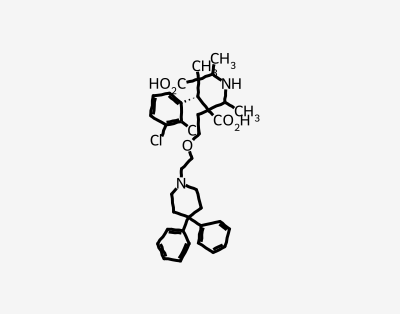 CC1NC(C)C(CCOCCN2CCC(c3ccccc3)(c3ccccc3)CC2)(C(=O)O)[C@H](c2cccc(Cl)c2Cl)C1(C)C(=O)O